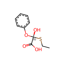 CCS[C@@](O)(Oc1ccccc1)C(=O)O